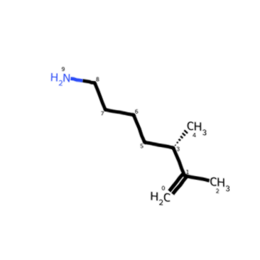 C=C(C)[C@@H](C)CCCCN